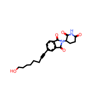 O=C1CCC(N2C(=O)c3ccc(C#CCCCCCCO)cc3C2=O)C(=O)N1